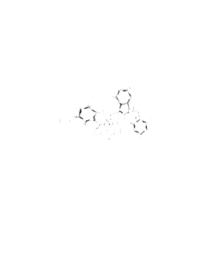 O=C(O)C(NCc1cn(Cc2ccccc2)c2ccccc12)c1cccc(C(F)(F)F)c1